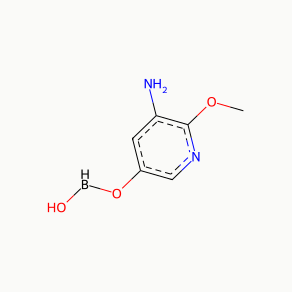 COc1ncc(OBO)cc1N